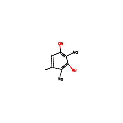 Cc1cc(O)c(N=O)c(O)c1N=O